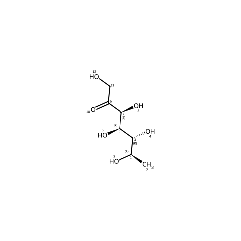 C[C@@H](O)[C@@H](O)[C@@H](O)[C@H](O)C(=O)CO